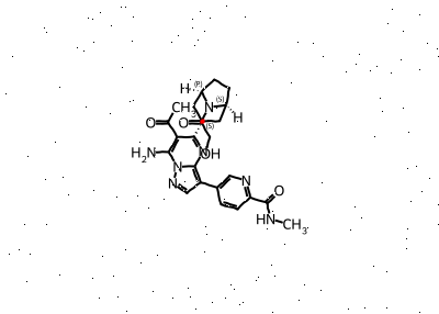 CNC(=O)c1ccc(-c2cnn3c(N)c(C(C)=O)c([C@@H]4C[C@H]5CC[C@@H](C4)N5C(=O)CO)nc23)cn1